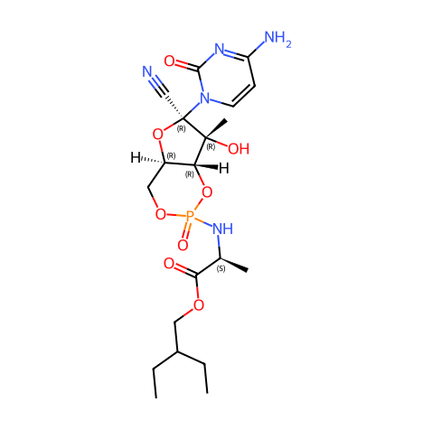 CCC(CC)COC(=O)[C@H](C)NP1(=O)OC[C@H]2O[C@@](C#N)(n3ccc(N)nc3=O)[C@](C)(O)[C@@H]2O1